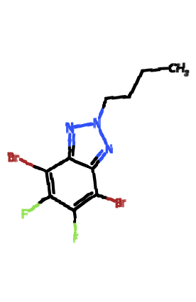 CCCCn1nc2c(Br)c(F)c(F)c(Br)c2n1